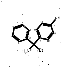 [CH2]CC(N)(c1ccccc1)c1ccc(F)cc1